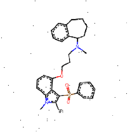 CC(C)c1c(S(=O)(=O)c2ccccc2)c2c(OCCCN(C)C3CCCCc4ccccc43)cccc2n1C